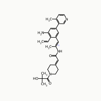 C=Cc1c(N)cc(-c2cnccc2C)cc1/C=C(\C)NC(=O)C=C1CCN(C(=O)C(C)(C)O)CC1